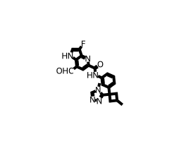 CC1CC(c2cccc(NC(=O)c3cc(C=O)c4[nH]cc(F)c4n3)c2)(c2nncn2C)C1